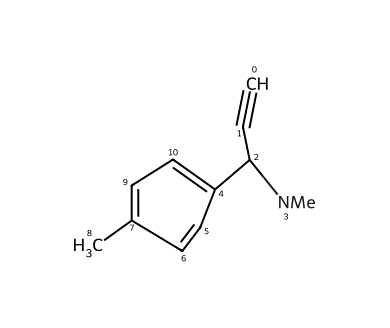 C#CC(NC)c1ccc(C)cc1